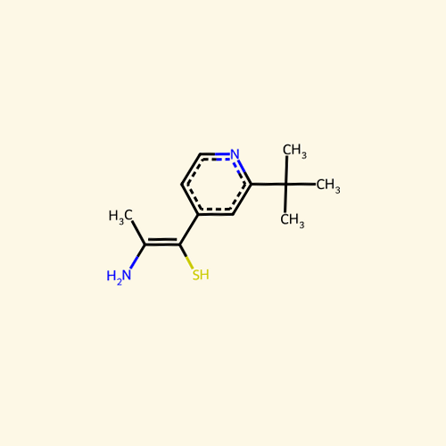 C/C(N)=C(/S)c1ccnc(C(C)(C)C)c1